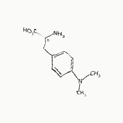 CN(C)c1ccc(C[C@@H](N)C(=O)O)cc1